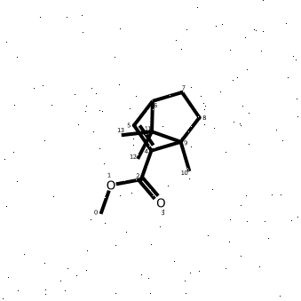 COC(=O)C1=CC2CCC1(C)C2(C)C